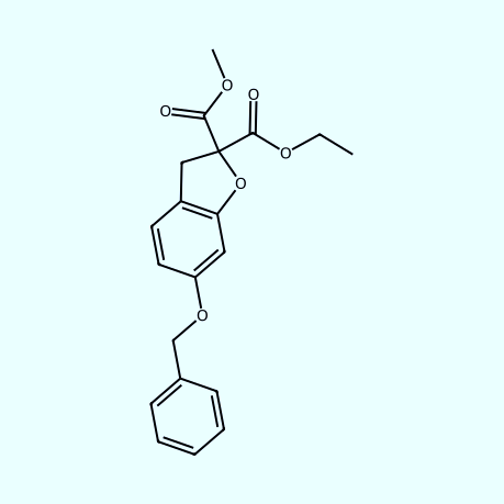 CCOC(=O)C1(C(=O)OC)Cc2ccc(OCc3ccccc3)cc2O1